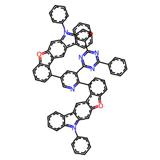 c1ccc(-c2nc(-c3ccccc3)nc(-c3cc(-c4cccc5oc6cc7c(cc6c45)c4ccccc4n7-c4ccccc4)cnc3-c3cccc4oc5cc6c(cc5c34)c3ccccc3n6-c3ccccc3)n2)cc1